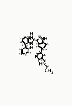 CCNCc1cncc(-c2ccc3[nH]nc(C4Nc5cccc(-c6ccncc6)c5N4)c3c2)c1